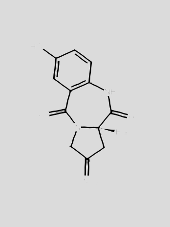 C=C1C[C@H]2C(=O)Nc3ccc(O)cc3C(=O)N2C1